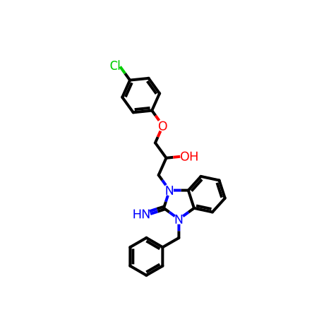 N=c1n(Cc2ccccc2)c2ccccc2n1CC(O)COc1ccc(Cl)cc1